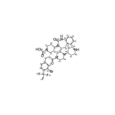 O=C(C(Cc1ccc(C(F)(F)F)c(Br)c1)[C@H]1CC(N2CCc3ccccc3NC2=O)CCN1C(=O)O)N1CCN(C2CCNCC2)CC1